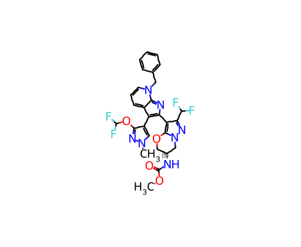 COC(=O)N[C@@H]1COc2c(-c3nc4n(Cc5ccccc5)cccc-4c3-c3cn(C)nc3OC(F)F)c(C(F)F)nn2C1